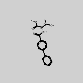 COC(=O)[C@@H](NC(=O)c1ccc(-c2ccccc2)cc1)[C@@H](C)O